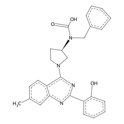 Cc1ccc2c(N3CC[C@@H](N(Cc4ccccc4)C(=O)O)C3)nc(-c3ccccc3O)nc2c1